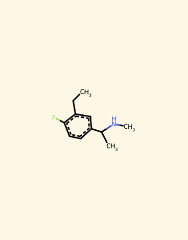 CCc1cc(C(C)NC)ccc1F